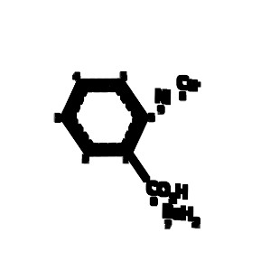 O=C(O)c1ccccc1.[BaH2].[Cu].[Ni]